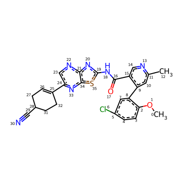 COc1ccc(Cl)cc1-c1cc(C)ncc1C(=O)Nc1nc2ncc(C3=CCC(C#N)CC3)nc2s1